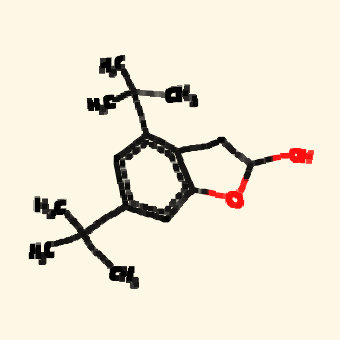 CC(C)(C)c1cc2c(c(C(C)(C)C)c1)CC(O)O2